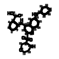 O=C(O)c1ccccc1Nc1cc(S(=O)(=O)C2COCCN2)nc2ccc(Nc3ccncc3)cc12